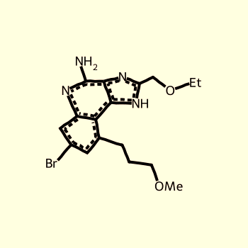 CCOCc1nc2c(N)nc3cc(Br)cc(CCCOC)c3c2[nH]1